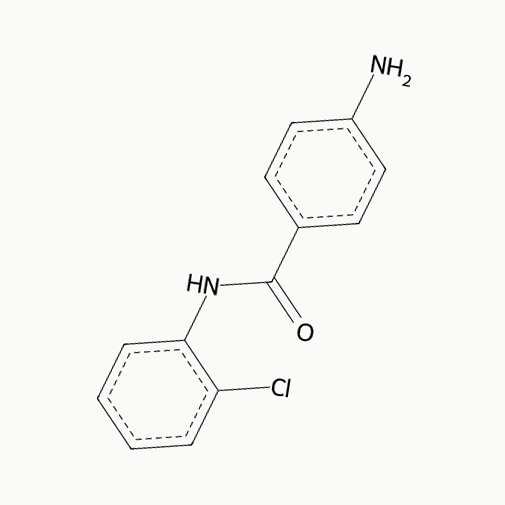 Nc1ccc(C(=O)Nc2ccccc2Cl)cc1